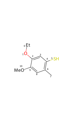 CCOc1cc(S)c(C)cc1OC